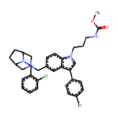 CCc1ccc(-c2cn(CCCNC(=O)OC(C)(C)C)c3ccc(CN4CC5CCC(C4)N5Cc4ccccc4Cl)cc23)cc1